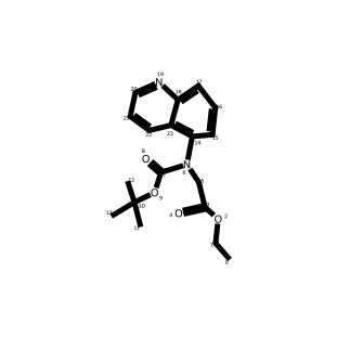 CCOC(=O)CN(C(=O)OC(C)(C)C)c1cccc2ncccc12